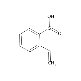 C=Cc1ccccc1S(=O)O